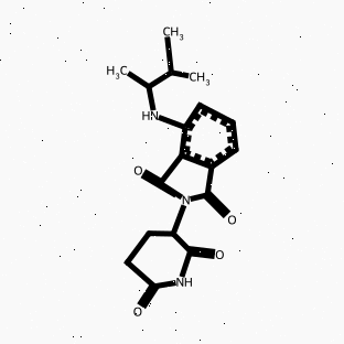 CC(C)C(C)Nc1cccc2c1C(=O)N(C1CCC(=O)NC1=O)C2=O